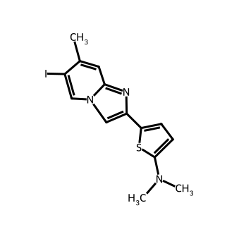 Cc1cc2nc(-c3ccc(N(C)C)s3)cn2cc1I